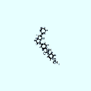 COc1ccc(C(=O)Nc2ccc(N3CCC4CN(c5ccccn5)CC43)cc2)cc1